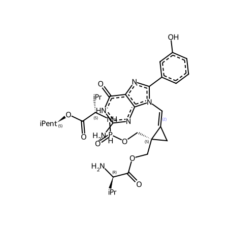 CCC[C@H](C)OC(=O)[C@@H](N[PH](=O)OC[C@@]1(COC(=O)[C@H](N)C(C)C)C/C1=C/n1c(-c2cccc(O)c2)nc2c(=O)[nH]c(N)nc21)C(C)C